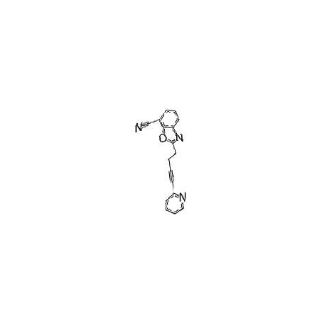 N#Cc1cccc2nc(CCC#Cc3ccccn3)oc12